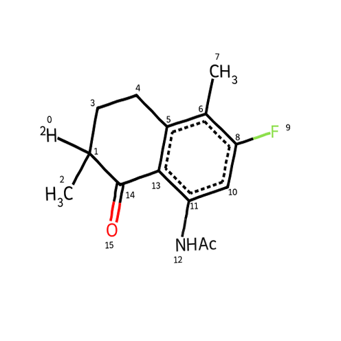 [2H]C1(C)CCc2c(C)c(F)cc(NC(C)=O)c2C1=O